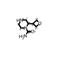 NC(=O)N1CCNCC1C1COC1